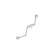 Cl/C=C/CCl